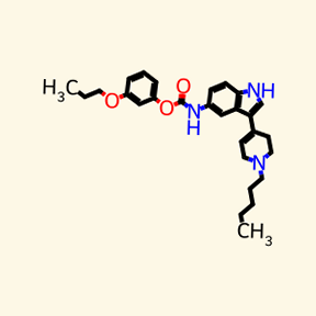 CCCCCN1CC=C(c2c[nH]c3ccc(NC(=O)Oc4cccc(OCCC)c4)cc23)CC1